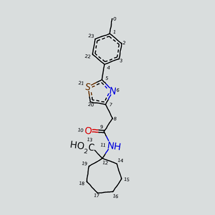 Cc1ccc(-c2nc(CC(=O)NC3(C(=O)O)CCCCCC3)cs2)cc1